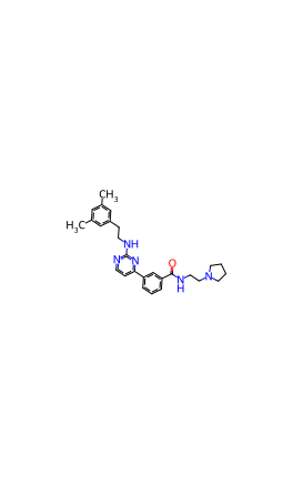 Cc1cc(C)cc(CCNc2nccc(-c3cccc(C(=O)NCCN4CCCC4)c3)n2)c1